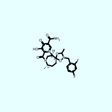 CC1O[C@]2(CC[C@H](C)N3C[C@H]2n2cc(C(N)=O)c(=O)c(O)c2C3=O)ON1Cc1ccc(F)cc1F